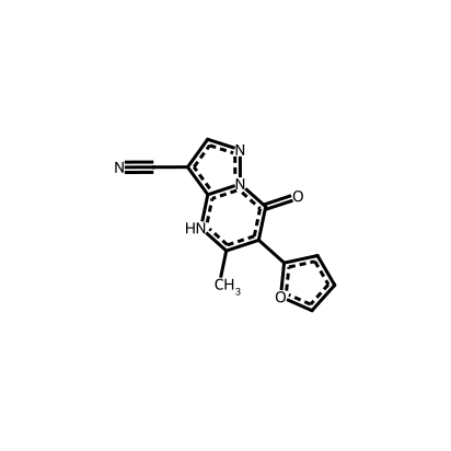 Cc1[nH]c2c(C#N)cnn2c(=O)c1-c1ccco1